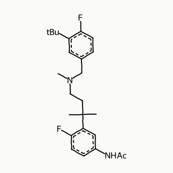 CC(=O)Nc1ccc(F)c(C(C)(C)CCN(C)Cc2ccc(F)c(C(C)(C)C)c2)c1